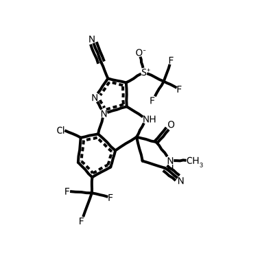 CNC(=O)C1(CC#N)Nc2c([S+]([O-])C(F)(F)F)c(C#N)nn2-c2c(Cl)cc(C(F)(F)F)cc21